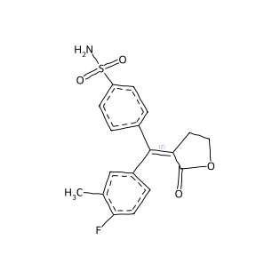 Cc1cc(/C(=C2/CCOC2=O)c2ccc(S(N)(=O)=O)cc2)ccc1F